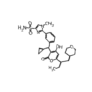 CCC(CC1CCOCC1)c1cc(O)c(C(c2cccc(-c3nc(S(N)(=O)=O)cn3C)c2)C2CC2)c(=O)o1